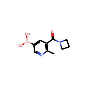 Cc1ncc(B(O)O)cc1C(=O)N1CCC1